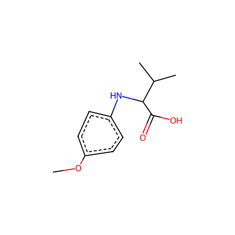 COc1ccc(NC(C(=O)O)C(C)C)cc1